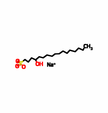 CCCCCCCCCCCCCC(O)CCCS(=O)(=O)[O-].[Na+]